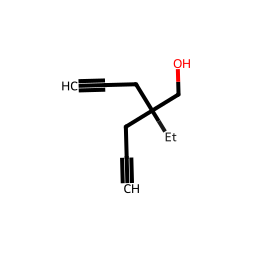 C#CCC(CC)(CO)CC#C